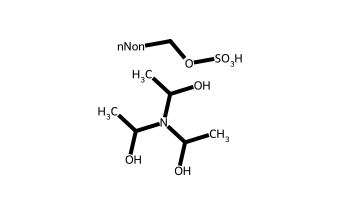 CC(O)N(C(C)O)C(C)O.CCCCCCCCCCOS(=O)(=O)O